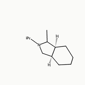 CC(C)N1C[C@@H]2CCCC[C@@H]2C1C